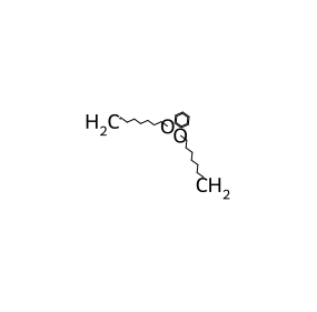 C=CCCCCCCOc1ccccc1OCCCCCCC=C